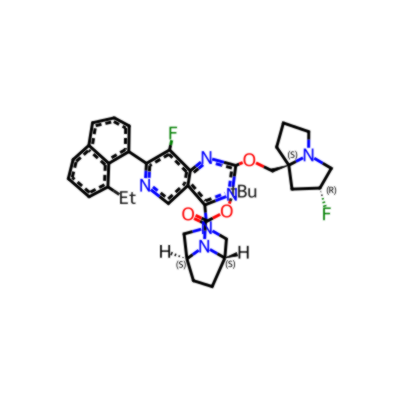 CCc1cccc2cccc(-c3ncc4c(N5C[C@@H]6CC[C@@H](C5)N6C(=O)OC(C)(C)C)nc(OC[C@@]56CCCN5C[C@H](F)C6)nc4c3F)c12